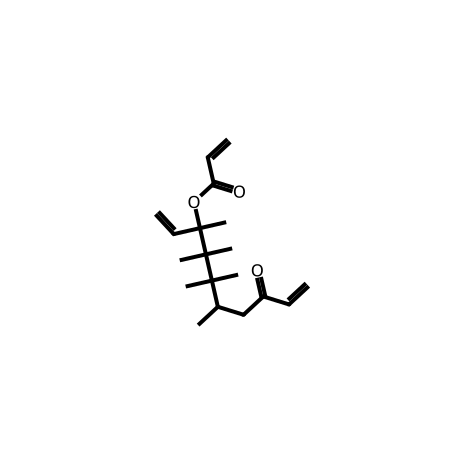 C=CC(=O)CC(C)C(C)(C)C(C)(C)C(C)(C=C)OC(=O)C=C